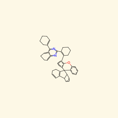 C1=CC2C3=C(CCC=C3)C3(c4ccccc4Oc4c(C5=C(c6nc(C7=CCCCC7)c7c(n6)=CCCC=7)CCCC5)cccc43)C2C=C1